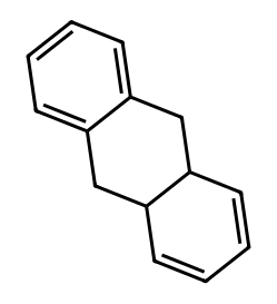 C1=CC2Cc3ccccc3CC2C=C1